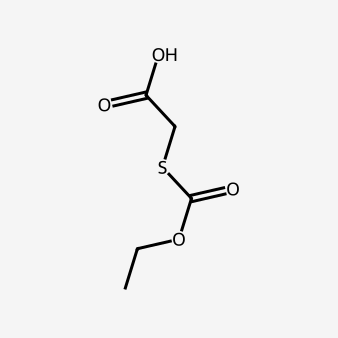 CCOC(=O)SCC(=O)O